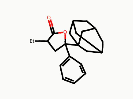 CCC1CC(c2ccccc2)(C23CC4CC(CC(C4)C2)C3)OC1=O